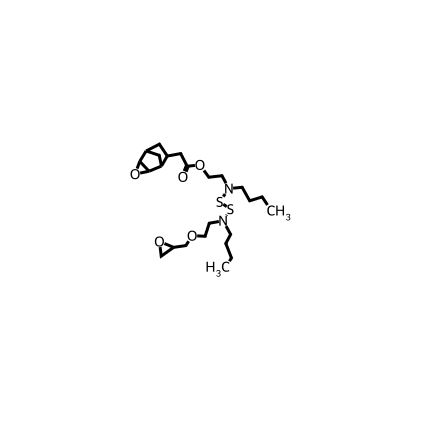 CCCCN(CCOCC1CO1)SSN(CCCC)CCOC(=O)CC1CC2CC1C1OC21